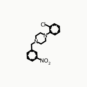 O=[N+]([O-])c1cccc(CN2CCN(c3ccccc3Cl)CC2)c1